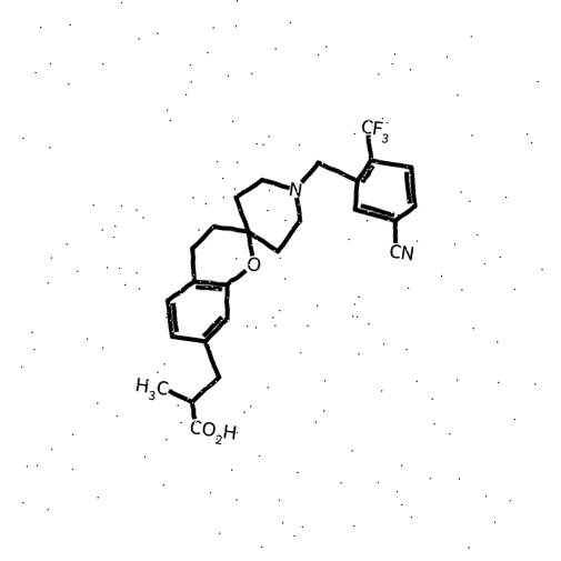 CC(Cc1ccc2c(c1)OC1(CC2)CCN(Cc2cc(C#N)ccc2C(F)(F)F)CC1)C(=O)O